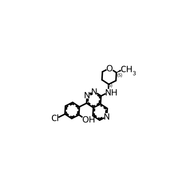 C[C@H]1C[C@@H](Nc2nnc(-c3ccc(Cl)cc3O)c3ccncc23)CCO1